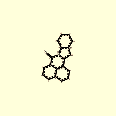 O=c1c2cccc3cccc(c32)c2cc3ccccc3n12